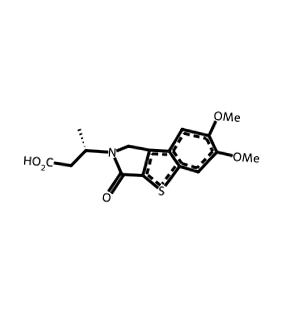 COc1cc2sc3c(c2cc1OC)CN([C@@H](C)CC(=O)O)C3=O